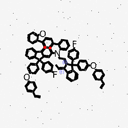 C=Cc1ccc(Oc2ccc(C3(c4ccc(F)cc4)C(=C/CN(c4ccc5c(c4)C(c4ccc(F)cc4)(c4ccc(Oc6ccc(C=C)cc6)cc4)c4ccccc4-5)c4ccccc4-c4ccc5c(c4)oc4ccccc45)/C(=C\C)c4ccc#cc43)cc2)cc1